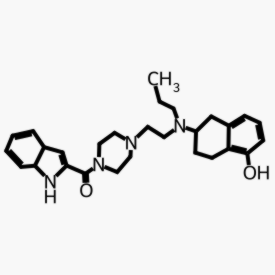 CCCN(CCN1CCN(C(=O)C2=CC3C=CC=CC3N2)CC1)C1CCc2c(O)cccc2C1